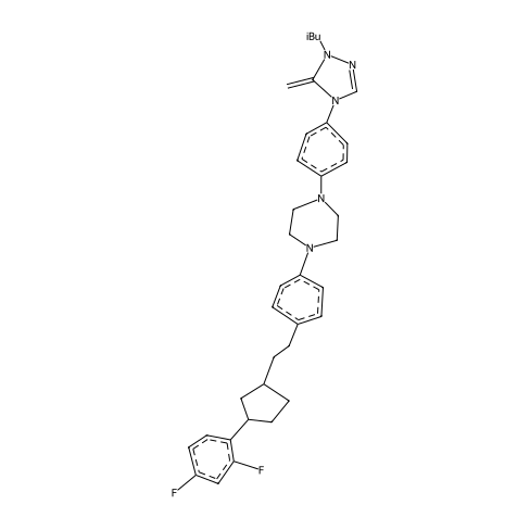 C=C1N(c2ccc(N3CCN(c4ccc(CCC5CCC(c6ccc(F)cc6F)C5)cc4)CC3)cc2)C=NN1C(C)CC